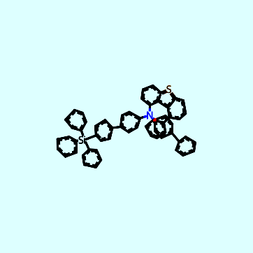 c1ccc(-c2ccc(N(c3ccc(-c4ccc([Si](c5ccccc5)(c5ccccc5)c5ccccc5)cc4)cc3)c3cccc4sc5cccc(-c6ccccc6)c5c34)cc2)cc1